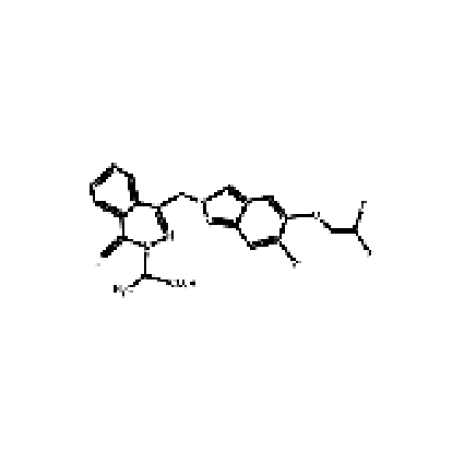 CC(C(=O)O)n1nc(Cn2cc3cc(OCC(F)F)c(Cl)cc3n2)c2ccccc2c1=O